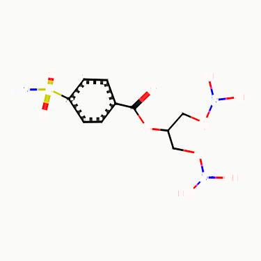 NS(=O)(=O)c1ccc(C(=O)OC(CON(O)O)CON(O)O)cc1